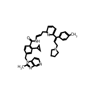 Cc1ccc(C(=CCN2CCCC2)c2cccc(CC=CNC(=O)c3ccc(Cn4c(C)nc5cnccc54)cc3C3CC3)n2)cc1